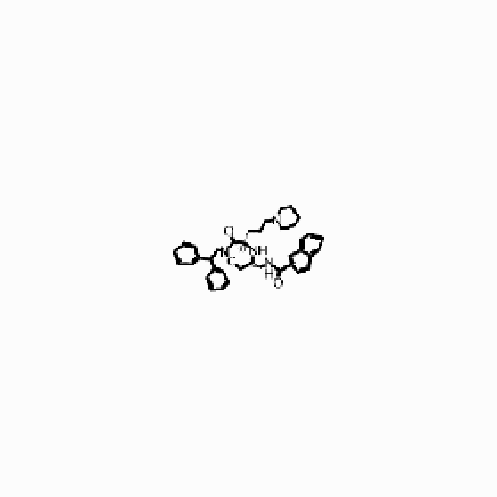 O=C(NC[C@@H]1CCN(CC(c2ccccc2)c2ccccc2)C(=O)[C@H](CCCN2CCCCC2)N1)c1ccc2ccccc2c1